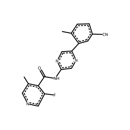 Cc1ccc(C#N)cc1-c1cnc(NC(=O)c2c(C)cncc2F)cn1